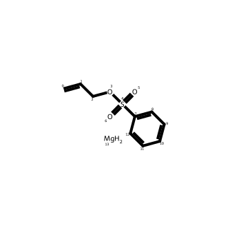 C=CCOS(=O)(=O)c1ccccc1.[MgH2]